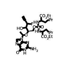 C#CC(F)C(O)[C@@H](COP(=O)(NC(CC(C)C)C(=O)OCC)NC(CC(C)C)C(=O)OCC)OC(C)n1cnc2c(=O)[nH]c(N)nc21